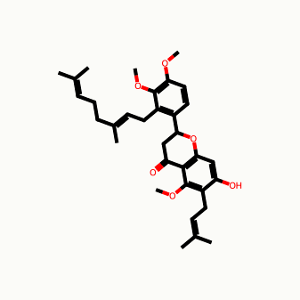 COc1ccc(C2CC(=O)c3c(cc(O)c(CC=C(C)C)c3OC)O2)c(C/C=C(\C)CCC=C(C)C)c1OC